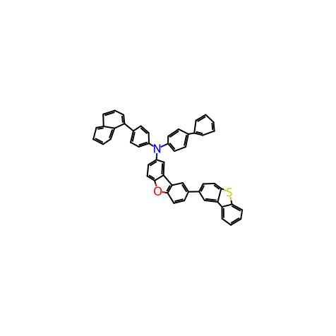 c1ccc(-c2ccc(N(c3ccc(-c4cccc5ccccc45)cc3)c3ccc4oc5ccc(-c6ccc7sc8ccccc8c7c6)cc5c4c3)cc2)cc1